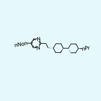 CCCCCCCCCc1cnc(CC[C@H]2CC[C@H]([C@H]3CC[C@H](CCC)CC3)CC2)nc1